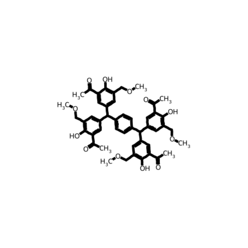 COCc1cc(C(c2ccc(C(c3cc(COC)c(O)c(C(C)=O)c3)c3cc(COC)c(O)c(C(C)=O)c3)cc2)c2cc(COC)c(O)c(C(C)=O)c2)cc(C(C)=O)c1O